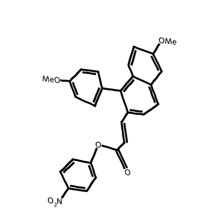 COc1ccc(-c2c(C=CC(=O)Oc3ccc([N+](=O)[O-])cc3)ccc3cc(OC)ccc23)cc1